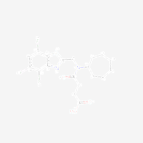 O=C(O)CCC(=O)N(Cc1nc2c(F)c(F)cc(F)c2s1)C1CCCCCC1